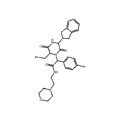 CC(C)CC1C(=O)NC(C2Cc3ccccc3C2)C(=O)N1C(C(=O)NCCN1CCOCC1)c1ccc(F)cc1